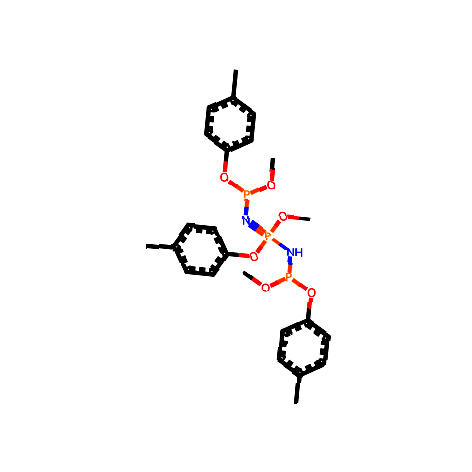 COP(N=P(NP(OC)Oc1ccc(C)cc1)(OC)Oc1ccc(C)cc1)Oc1ccc(C)cc1